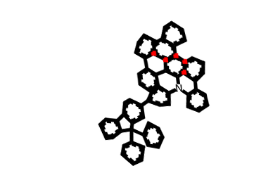 c1ccc(-c2ccccc2-c2ccccc2N(c2ccc(-c3ccc4c(c3)C(c3ccccc3)(c3ccccc3)c3ccccc3-4)cc2)c2ccccc2-c2cccc(-c3cccc4ccccc34)c2)cc1